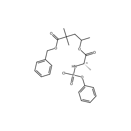 CC(CC(C)(C)C(=O)OCc1ccccc1)OC(=O)[C@H](C)NP(=O)(Cl)Oc1ccccc1